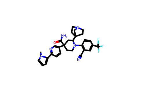 Cn1cccc1-c1ccc(C2(C(N)=O)CCN(c3ccc(C(F)(F)F)cc3C#N)C(C34CCN(CC3)C4)C2)cn1